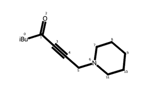 CCC(C)C(=O)C#CCN1CCCCC1